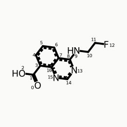 O=C(O)c1cccc2c(NCCF)ncnc12